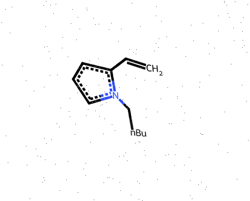 C=Cc1cccn1CCCCC